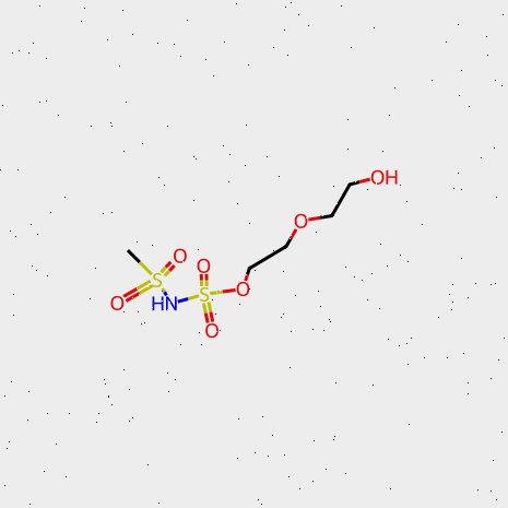 CS(=O)(=O)NS(=O)(=O)OCCOCCO